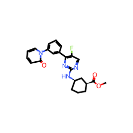 COC(=O)[C@H]1CCC[C@@H](Nc2ncc(F)c(-c3cccc(-n4ccccc4=O)c3)n2)C1